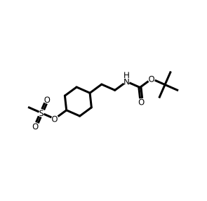 CC(C)(C)OC(=O)NCCC1CCC(OS(C)(=O)=O)CC1